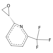 FC(F)(F)c1cccc([C@@H]2CO2)n1